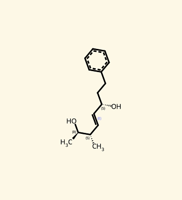 C[C@@H](O)[C@@H](C)/C=C/[C@@H](O)CCc1ccccc1